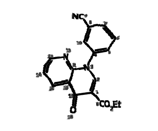 CCOC(=O)c1cn(-c2cccc(C#N)c2)c2ncccc2c1=O